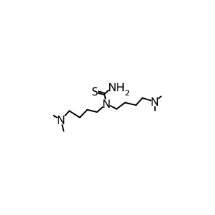 CN(C)CCCCN(CCCCN(C)C)C(N)=S